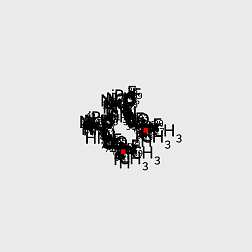 CC(C)n1ncnc1C(=O)N[C@H](c1nc2c(F)c([C@@H](CC(C)(F)F)C(=O)NCC(C)(F)F)ccc2[nH]1)C1CCC(F)(F)CC1.CC(C)n1ncnc1C(=O)N[C@H](c1nc2c(F)c([C@H](CC(C)(F)F)C(=O)NCC(C)(F)F)ccc2[nH]1)C1CCC(F)(F)CC1